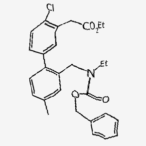 CCOC(=O)Cc1cc(-c2ccc(C)cc2CN(CC)C(=O)OCc2ccccc2)ccc1Cl